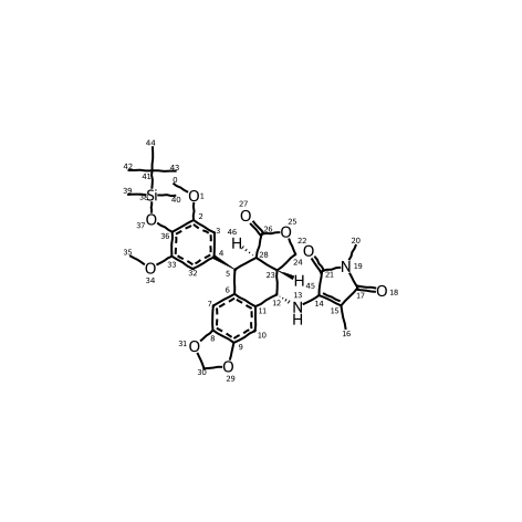 COc1cc([C@@H]2c3cc4c(cc3[C@@H](NC3=C(C)C(=O)N(C)C3=O)[C@H]3COC(=O)[C@H]23)OCO4)cc(OC)c1O[Si](C)(C)C(C)(C)C